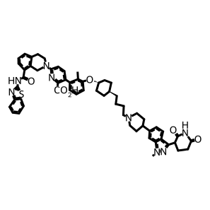 Cc1c(O[C@H]2CC[C@H](CCCCN3CCC(c4ccc5c(C6CCC(=O)NC6=O)nn(C)c5c4)CC3)CC2)cccc1-c1ccc(N2CCc3cccc(C(=O)Nc4nc5ccccc5s4)c3C2)nc1C(=O)O